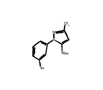 CNc1cc(C(F)(F)F)nn1-c1cccc(C(C)C)c1